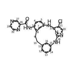 O=C(Nc1ccc2cc1CCc1cccc(c1)Nc1ncc(Cl)c(n1)N2)c1cnccn1